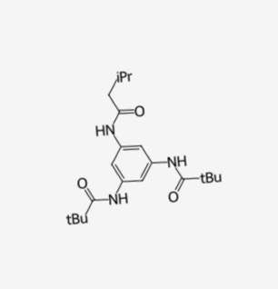 CC(C)CC(=O)Nc1cc(NC(=O)C(C)(C)C)cc(NC(=O)C(C)(C)C)c1